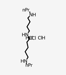 CCCNCCCCCNCCCCNCCC.Cl.Cl.Cl